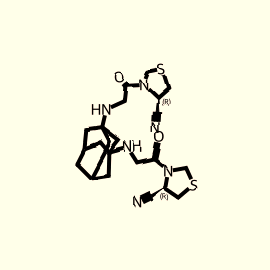 N#C[C@@H]1CSCN1C(=O)CNC12CC3CC(C1)CC(NCC(=O)N1CSC[C@H]1C#N)(C3)C2